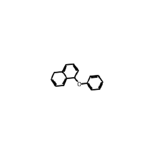 C1=CCC2=CC=CC(Oc3ccccc3)C2=C1